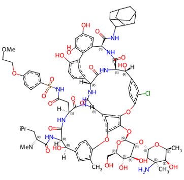 CN[C@H](CC(C)C)C(=O)N[C@H]1C(=O)N[C@@H](CC(=O)NS(=O)(=O)c2ccc(OCCOC)cc2)C(=O)N[C@H]2C(=O)N[C@H]3C(=O)N[C@H](C(=O)N[C@H](C(=O)NC4C5CC6CC(C5)CC4C6)c4cc(O)cc(O)c4-c4cc3ccc4O)[C@H](O)c3ccc(c(Cl)c3)Oc3cc2cc(c3O[C@@H]2O[C@H](CO)[C@@H](O)[C@H](O)[C@H]2O[C@H]2C[C@](C)(N)[C@H](O)[C@H](C)O2)Oc2ccc(cc2C)[C@H]1O